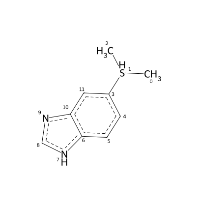 C[SH](C)c1ccc2[nH]cnc2c1